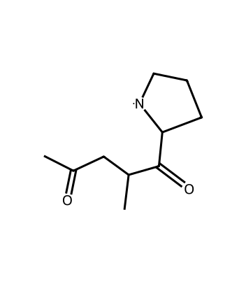 CC(=O)CC(C)C(=O)C1CCC[N]1